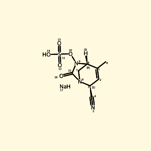 CC1=C[C@@H](C#N)N2C[C@@H]1N(OS(=O)(=O)O)C2=O.[NaH]